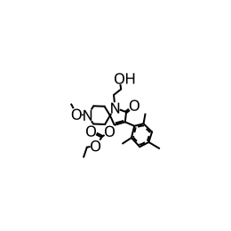 CCOC(=O)OC1=C(c2c(C)cc(C)cc2C)C(=O)N(CCO)C12CCN(OC)CC2